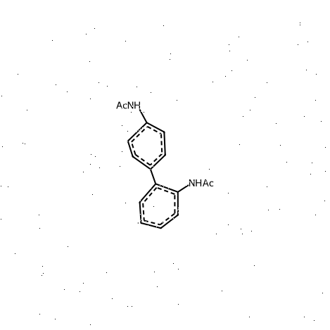 CC(=O)Nc1ccc(-c2c[c]ccc2NC(C)=O)cc1